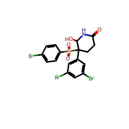 O=C1CCC(c2cc(Br)cc(Br)c2)(S(=O)(=O)c2ccc(Br)cc2)C(O)N1